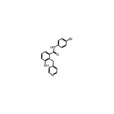 Nc1cccc(C(=O)Nc2ccc(Br)cc2)c1Cc1ccncc1